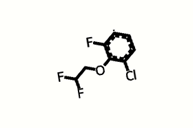 Fc1[c]ccc(Cl)c1OCC(F)F